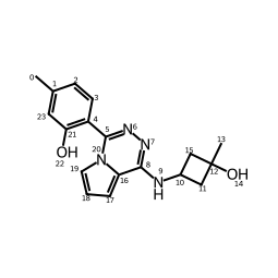 Cc1ccc(-c2nnc(NC3CC(C)(O)C3)c3cccn23)c(O)c1